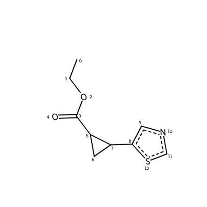 CCOC(=O)C1CC1c1cncs1